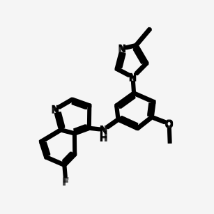 COc1cc(Nc2ccnc3ccc(F)cc23)cc(-n2cnc(C)c2)c1